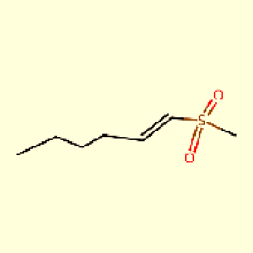 CCCCC=CS(C)(=O)=O